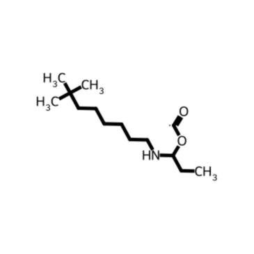 CCC(NCCCCCCC(C)(C)C)O[C]=O